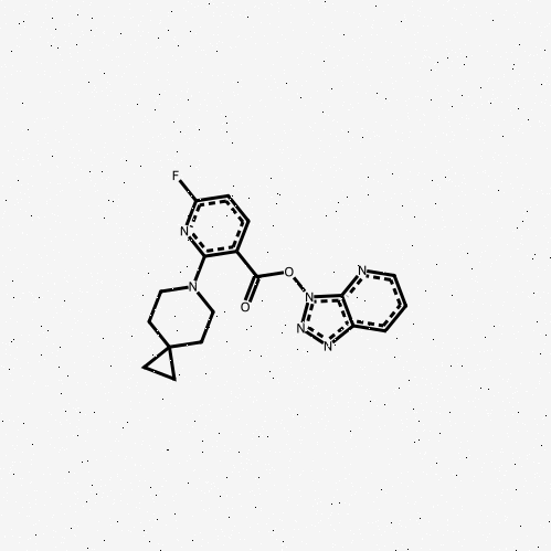 O=C(On1nnc2cccnc21)c1ccc(F)nc1N1CCC2(CC1)CC2